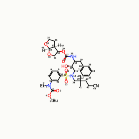 CCN(C(=O)OC(C)(C)C)c1cccc(S(=O)(=O)N(CC(O)C(Cc2ccccc2)NC(=O)O[C@H]2CO[C@H]3OCC[C@H]32)CC(C)(C)CCC#N)c1